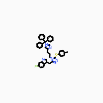 Cc1ccc(Sc2nnc(CC3C=Nc4cc(F)ccc43)n2CCCc2cn(C(c3ccccc3)(c3ccccc3)c3ccccc3)cn2)cc1